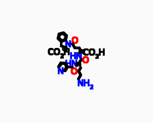 NCCCC[C@H](NC(=O)c1cccnc1)C(=O)N[C@H](CCC(=O)N1c2ccccc2C[C@H]1C(=O)O)C(=O)O